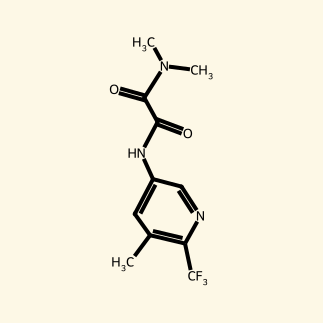 Cc1cc(NC(=O)C(=O)N(C)C)cnc1C(F)(F)F